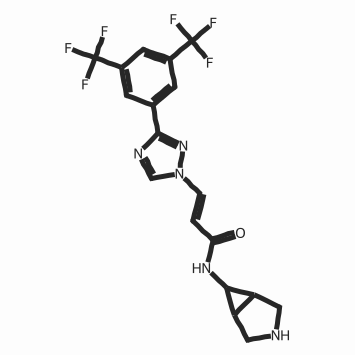 O=C(C=Cn1cnc(-c2cc(C(F)(F)F)cc(C(F)(F)F)c2)n1)NC1C2CNCC21